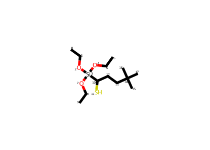 CCO[Si](OCC)(OCC)C(S)CCC(C)(C)C